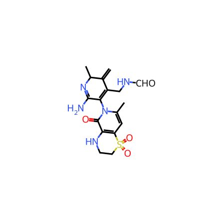 C=C1C(CNC=O)=C(n2c(C)cc3c(c2=O)NCCS3(=O)=O)C(N)=NC1C